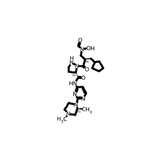 C[C@H]1CN(C)CCN1c1nccc(NC(=O)[C@@H]2CCNN2C(=O)[C@H](CC2CCCC2)CN(O)C=O)n1